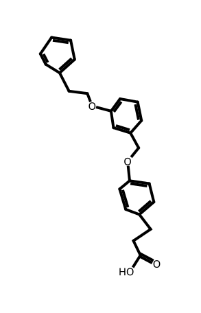 O=C(O)CCc1ccc(OCc2cccc(OCCc3ccccc3)c2)cc1